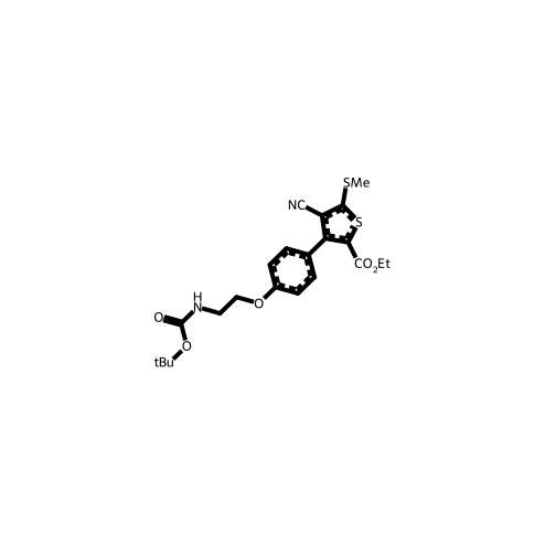 CCOC(=O)c1sc(SC)c(C#N)c1-c1ccc(OCCNC(=O)OC(C)(C)C)cc1